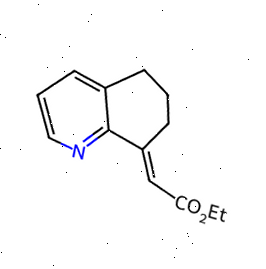 CCOC(=O)C=C1CCCc2cccnc21